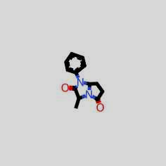 CC1C(=O)N(c2ccccc2)C2CCC(=O)N12